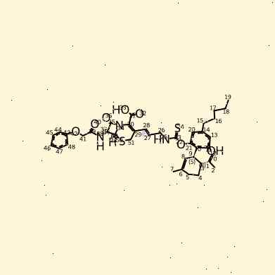 C=C(C)[C@@H]1CCC(C)=C[C@H]1c1c(O)cc(CCCCC)cc1OC(=S)NC/C=C/C1=C(C(=O)O)N2C(=O)[C@@H](NC(=O)COc3ccccc3)[C@H]2SC1